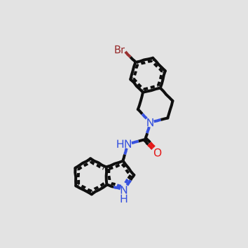 O=C(Nc1c[nH]c2ccccc12)N1CCc2ccc(Br)cc2C1